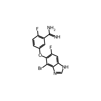 N=C(N)c1cc(Oc2c(F)cc3[nH]cnc3c2Br)ccc1F